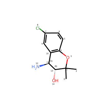 CC1(C)Oc2ccc(Cl)cc2[C@H](N)[C@H]1O